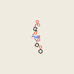 COC(=O)Cc1ccc(OCC(C)NCC(O)c2cccc(Oc3ccccc3)c2)cc1